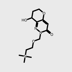 C[Si](C)(C)CCOCn1nc2c(cc1=O)OCCC2O